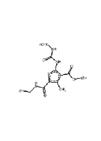 CCCCCCCCNC(=O)Nc1sc(C(=O)NCC(C)C)c(C)c1C(=O)OC(C)(C)C